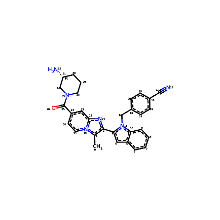 Cc1c(-c2cc3ccccc3n2Cc2ccc(C#N)cc2)nc2cc(C(=O)N3CCC[C@@H](N)C3)ccn12